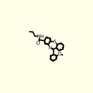 CCCNC(=O)c1ccc2c(c1)N=C(c1ccccc1OC)c1ccccc1S2